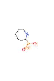 O=[PH](O)C1CCCC=N1